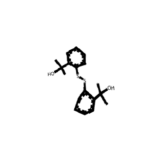 CC(C)(O)c1ccccc1SSc1ccccc1C(C)(C)O